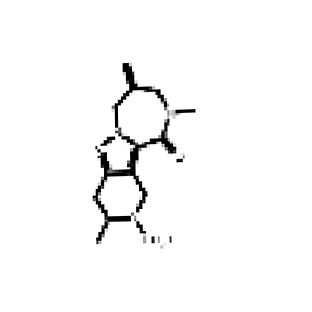 C=C1CN(C)C(=O)c2c3c(nn2C1)CC(C)N(C(=O)O)C3